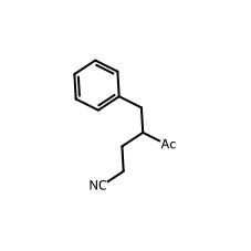 CC(=O)C(CCC#N)Cc1ccccc1